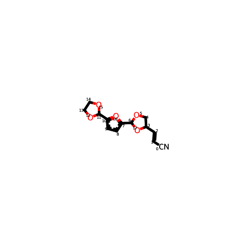 N#C/C=C/C1COC(c2ccc(C3OCCO3)o2)O1